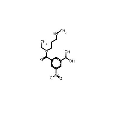 CCN(CCCNC)C(=O)c1cc(B(O)O)cc([N+](=O)[O-])c1